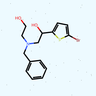 OCCN(Cc1ccccc1)CC(O)c1ccc(Br)s1